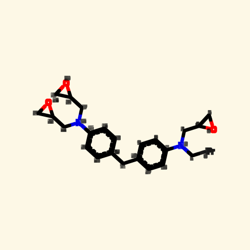 CC(C)CN(CC1CO1)c1ccc(Cc2ccc(N(CC3CO3)CC3CO3)cc2)cc1